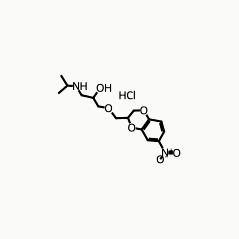 CC(C)NCC(O)COCC1COc2ccc([N+](=O)[O-])cc2O1.Cl